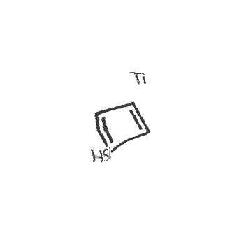 C1=C[SiH]=C1.[Ti]